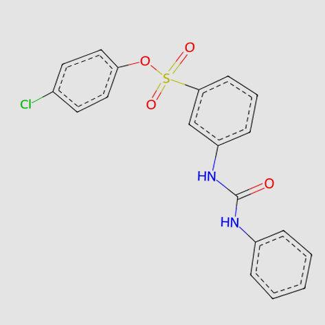 O=C(Nc1ccccc1)Nc1cccc(S(=O)(=O)Oc2ccc(Cl)cc2)c1